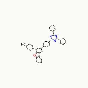 N#Cc1ccc(-c2cc(-c3ccc(-c4nc(-c5ccccc5)nc(-c5ccccc5)n4)cc3)cc3c2oc2ccccc23)cc1